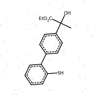 CCOC(=O)C(C)(O)c1ccc(-c2ccccc2S)cc1